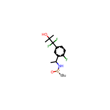 CC(N[S@+]([O-])C(C)(C)C)c1cc(C(F)(F)C(C)(C)O)ccc1F